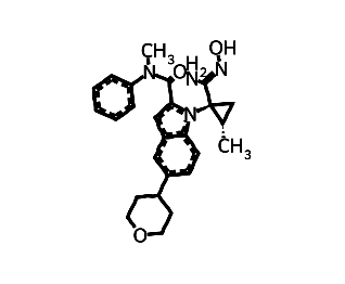 C[C@H]1C[C@]1(C(N)=NO)n1c(C(=O)N(C)c2ccccc2)cc2cc(C3CCOCC3)ccc21